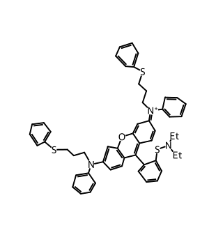 CCN(CC)Sc1ccccc1-c1c2cc/c(=[N+](/CCCSc3ccccc3)c3ccccc3)cc-2oc2cc(N(CCCSc3ccccc3)c3ccccc3)ccc12